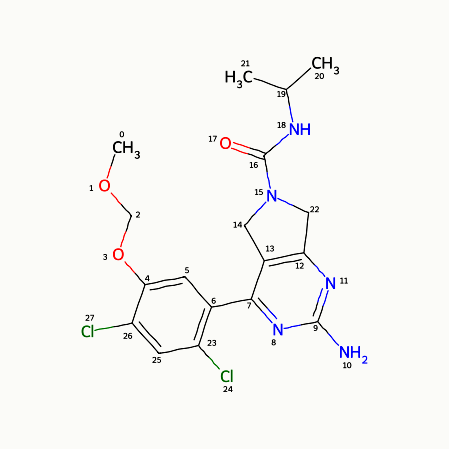 COCOc1cc(-c2nc(N)nc3c2CN(C(=O)NC(C)C)C3)c(Cl)cc1Cl